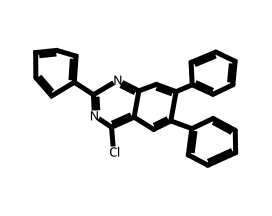 Clc1nc(-c2ccccc2)nc2cc(-c3ccccc3)c(-c3ccccc3)cc12